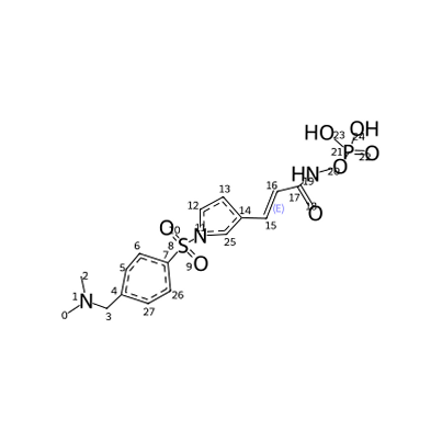 CN(C)Cc1ccc(S(=O)(=O)n2ccc(/C=C/C(=O)NOP(=O)(O)O)c2)cc1